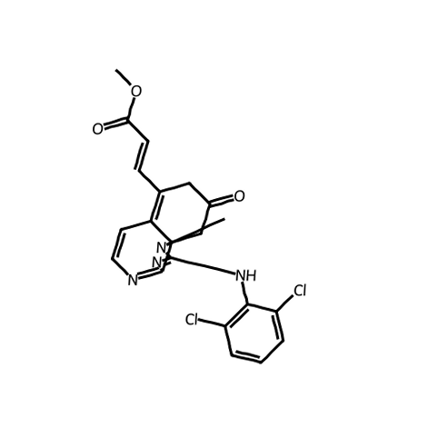 COC(=O)/C=C/C1=C2C=CN=C3N=C(Nc4c(Cl)cccc4Cl)N(C)C32CC(=O)C1